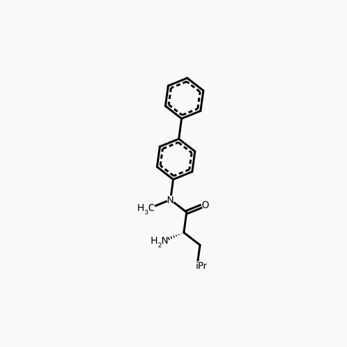 CC(C)C[C@H](N)C(=O)N(C)c1ccc(-c2ccccc2)cc1